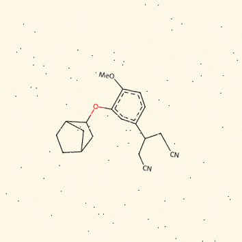 COc1ccc(C(CC#N)CC#N)cc1OC1CC2CCC1C2